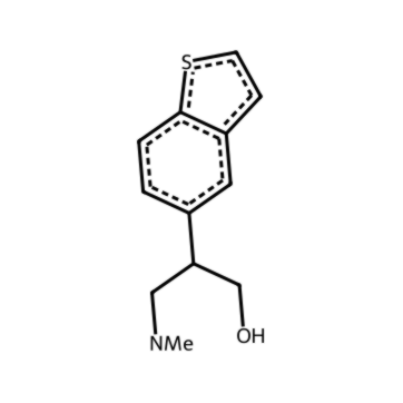 CNCC(CO)c1ccc2sccc2c1